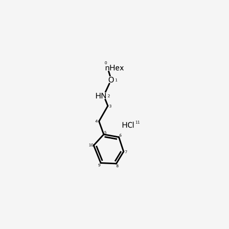 CCCCCCONCCc1ccccc1.Cl